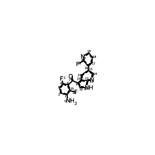 Nc1ccc(F)c(C(=O)c2c[nH]c3ncc(-c4cccnc4F)cc23)c1F